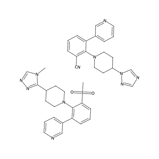 Cn1cnnc1C1CCN(c2c(-c3cccnc3)cccc2S(C)(=O)=O)CC1.N#Cc1cccc(-c2cccnc2)c1N1CCC(n2cncn2)CC1